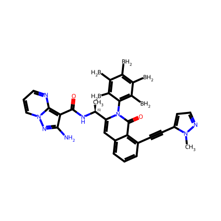 Bc1c(B)c(B)c(-n2c([C@H](C)NC(=O)c3c(N)nn4cccnc34)cc3cccc(C#Cc4ccnn4C)c3c2=O)c(B)c1B